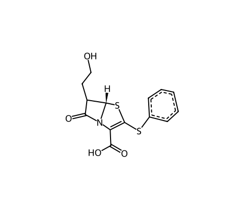 O=C(O)C1=C(Sc2ccccc2)S[C@H]2C(CCO)C(=O)N12